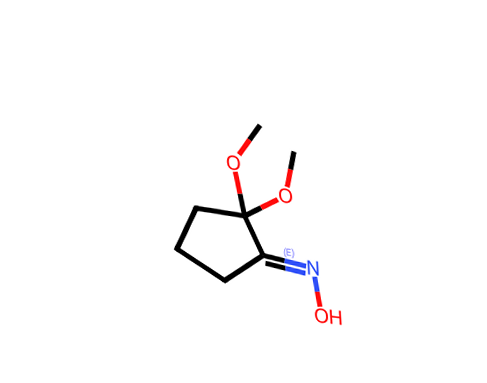 COC1(OC)CCC/C1=N\O